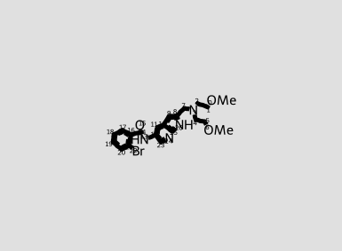 COCCN(CCOC)Cc1cc2cc(NC(=O)c3ccccc3Br)cnc2[nH]1